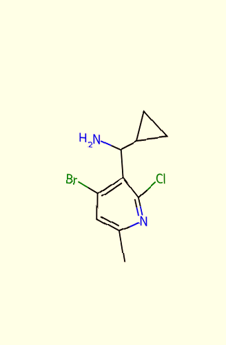 Cc1cc(Br)c(C(N)C2CC2)c(Cl)n1